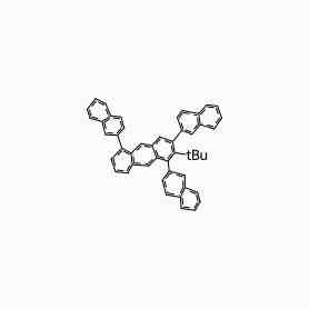 CC(C)(C)c1c(-c2ccc3ccccc3c2)cc2cc3c(-c4ccc5ccccc5c4)cccc3cc2c1-c1ccc2ccccc2c1